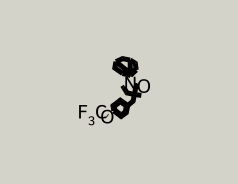 CC1(Cc2ccc(OC(F)(F)F)cc2)CCN(C2C3CC4CC(C3)CC2C4)C1=O